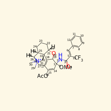 COC1(NC(=O)C(=Cc2ccccc2)C(F)(F)F)C=C(OC(C)=O)C2=C3C1O[C@H]1CCC[C@H]4[C@@H](C2)[N+](C)(C)CC[C@]314